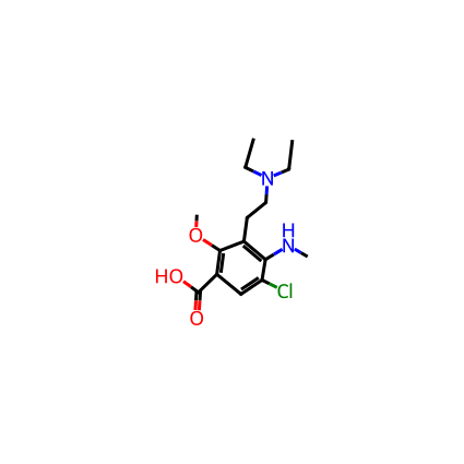 CCN(CC)CCc1c(NC)c(Cl)cc(C(=O)O)c1OC